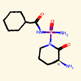 N[C@H]1CCCN(P(N)(=O)NC(=O)C2CCCCC2)C1=O